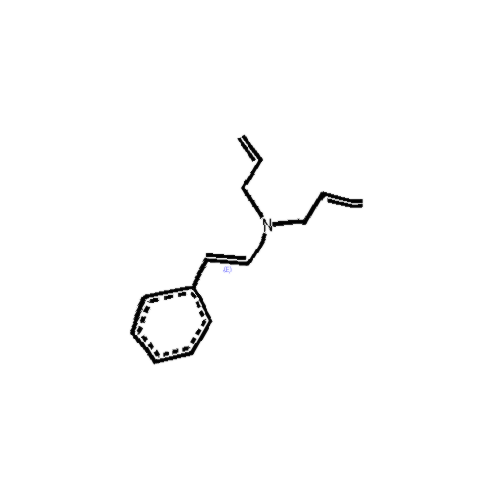 C=CCN(/C=C/c1ccccc1)CC=C